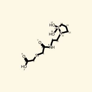 O=C(O)CSCC(=O)NCCN1CCCS1(O)O